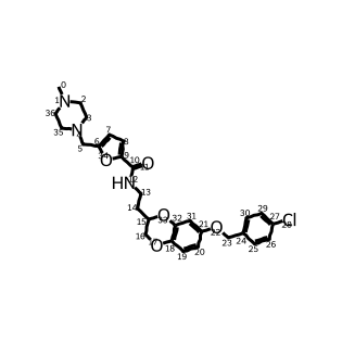 CN1CCN(Cc2ccc(C(=O)NCCC3COc4ccc(OCc5ccc(Cl)cc5)cc4O3)o2)CC1